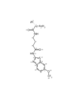 CC(C)[C@H]([AsH2])C(=O)NCCCC(=O)Nc1nc2ccc(OC(F)(F)F)cc2s1